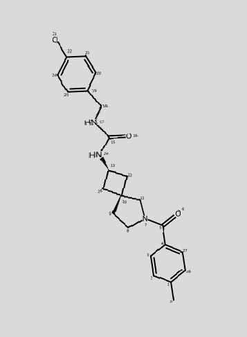 Cc1ccc(C(=O)N2CC[C@]3(C2)C[C@H](NC(=O)NCc2ccc(Cl)cc2)C3)cc1